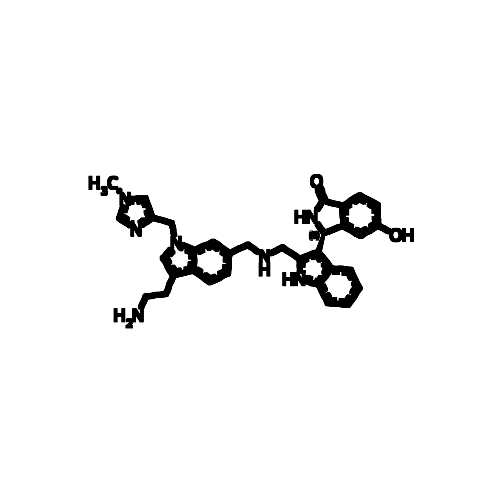 Cn1cnc(Cn2cc(CCN)c3ccc(CNCc4[nH]c5ccccc5c4[C@H]4NC(=O)c5ccc(O)cc54)cc32)c1